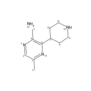 Cc1cnc(C)c(C2CCNCC2)n1.N